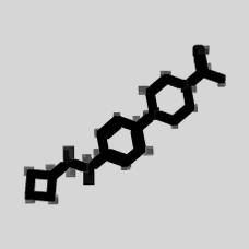 CC(=O)N1CCN(c2ccc(NNC3CCC3)cc2)CC1